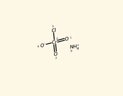 [NH4+].[O]=[Cr](=[O])([O-])[Cl]